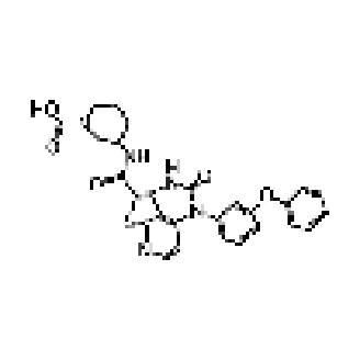 O=C(NC1CCCN(C(=O)O)C1)c1sc2nccc3c2c1NC(=O)N3c1cccc(Oc2ccccc2)c1